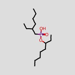 CCCCCC(CC)OP(=O)(O)CC(CC)CCCC